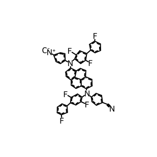 [C-]#[N+]c1ccc(N(c2cc(F)c(-c3cccc(F)c3)cc2F)c2ccc3ccc4c(N(c5ccc(C#N)cc5)c5cc(F)c(-c6cccc(F)c6)cc5F)ccc5ccc2c3c54)cc1